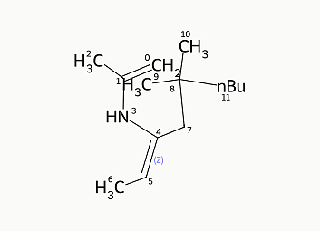 C=C(C)N/C(=C\C)CC(C)(C)CCCC